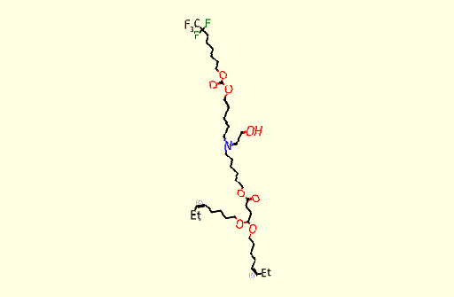 CC/C=C\CCCCOC(CCC(=O)OCCCCCCN(CCO)CCCCCOC(=O)OCCCCCCC(F)(F)C(F)(F)F)OCCCC/C=C\CC